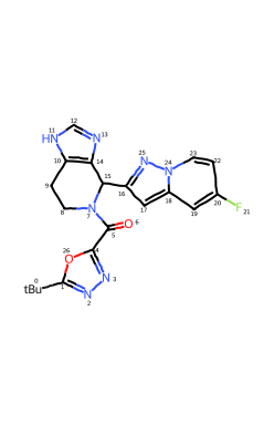 CC(C)(C)c1nnc(C(=O)N2CCc3[nH]cnc3C2c2cc3cc(F)ccn3n2)o1